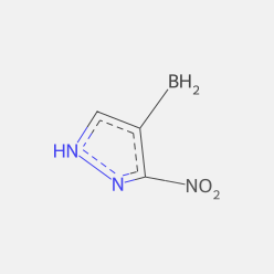 Bc1c[nH]nc1[N+](=O)[O-]